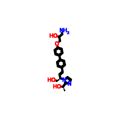 C[C@H](O)c1nccn1[C@@H](/C=C/c1ccc(-c2ccc(OCC(O)CN)cc2)cc1)CO